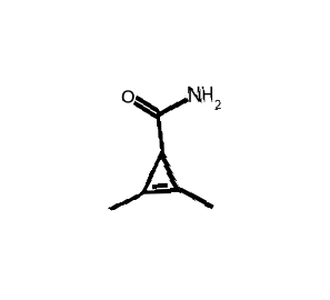 CC1=C(C)C1C(N)=O